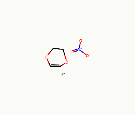 C1=COCCO1.O=[N+]([O-])[O-].[H+]